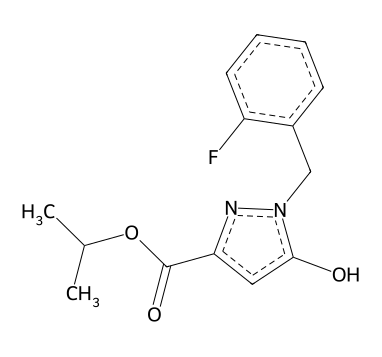 CC(C)OC(=O)c1cc(O)n(Cc2ccccc2F)n1